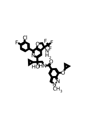 Cn1cc2cc(C(=O)NCC(O)(c3cc4c(c(-c5ccc(F)c(Cl)c5)n3)OC[C@@]4(N)C(F)(F)F)C3CC3)cc(OC3CC3)c2n1